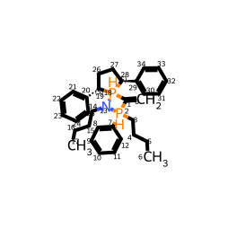 C=C1[PH](CCCC)(c2ccccc2)N(CCCC)[PH]12[C@H](c1ccccc1)CC[C@H]2c1ccccc1